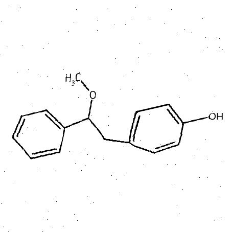 COC(Cc1ccc(O)cc1)c1ccccc1